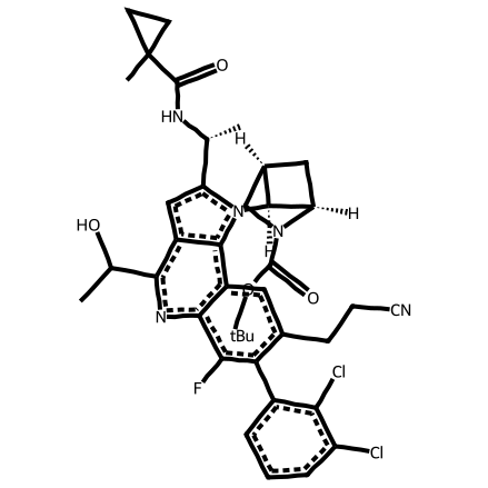 CC(O)c1nc2c(F)c(-c3cccc(Cl)c3Cl)c(CCC#N)cc2c2c1cc([C@@H](C)NC(=O)C1(C)CC1)n2[C@H]1[C@@H]2C[C@H]1N(C(=O)OC(C)(C)C)C2